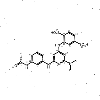 CN(C)c1nc(Nc2cccc(N[SH](=O)=O)c2)nc(Nc2cc(S(=O)(=O)O)ccc2S(=O)(=O)O)n1